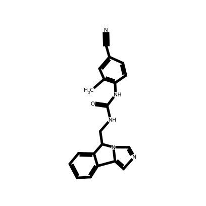 Cc1cc(C#N)ccc1NC(=O)NCC1c2ccccc2-c2cncn21